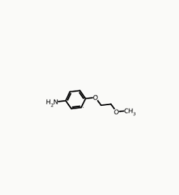 COCCOc1[c]cc(N)cc1